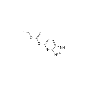 CCOC(=O)Oc1ccc2[nH]cnc2n1